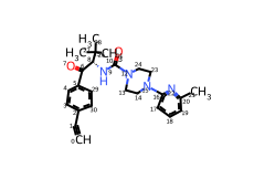 C#Cc1ccc(C(=O)[C@@H](NC(=O)N2CCN(c3cccc(C)n3)CC2)C(C)(C)C)cc1